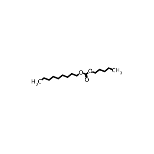 CCCCCCCCCOC(=O)OCCCCC